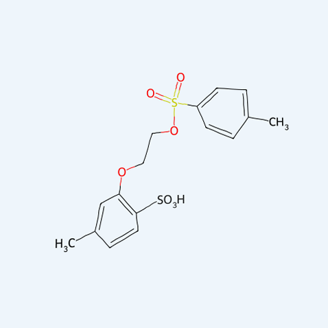 Cc1ccc(S(=O)(=O)OCCOc2cc(C)ccc2S(=O)(=O)O)cc1